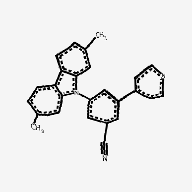 Cc1ccc2c3ccc(C)cc3n(-c3cc(C#N)cc(-c4ccncc4)c3)c2c1